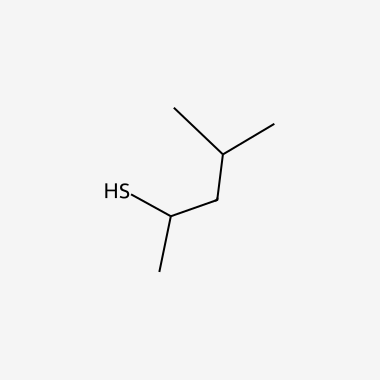 CC(C)CC(C)S